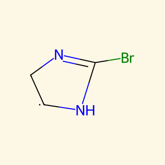 BrC1=NC[CH]N1